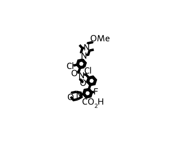 COCCN1C(C)CN(c2cc(Cl)c(C(=O)N3COc4c(cccc4-c4cc(N5C6CCC5COC6)c(C(=O)O)cc4F)C3)c(Cl)c2)CC1C